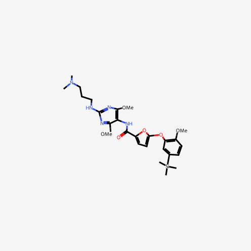 COc1ccc([Si](C)(C)C)cc1Oc1ccc(C(=O)Nc2c(OC)nc(NCCCN(C)C)nc2OC)o1